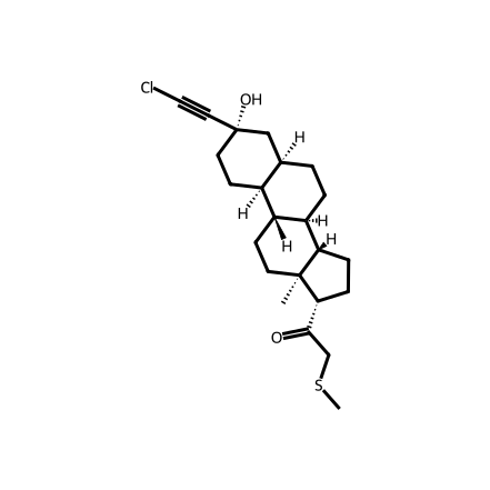 CSCC(=O)[C@H]1CC[C@H]2[C@@H]3CC[C@@H]4C[C@](O)(C#CCl)CC[C@@H]4[C@H]3CC[C@]12C